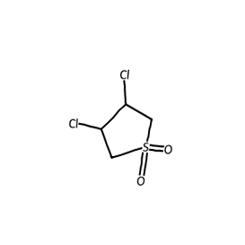 O=S1(=O)CC(Cl)C(Cl)C1